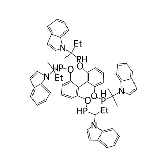 CCC(POc1cccc(OPC(C)(CC)n2ccc3ccccc32)c1-c1c(OPC(C)(C)n2ccc3ccccc32)cccc1OPC(C)(CC)n1ccc2ccccc21)n1ccc2ccccc21